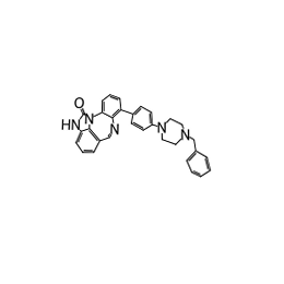 O=c1[nH]c2cccc3c2n1-c1cccc(-c2ccc(N4CCN(Cc5ccccc5)CC4)cc2)c1N=C3